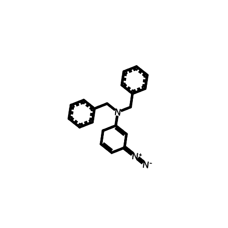 [N-]=[N+]=C1C=CCC(N(Cc2ccccc2)Cc2ccccc2)=C1